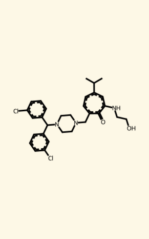 CC(C)c1ccc(CN2CCN(C(c3cccc(Cl)c3)c3cccc(Cl)c3)CC2)c(=O)c(NCCO)c1